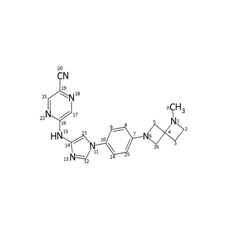 CN1CCC12CN(c1ccc(-n3cnc(Nc4cnc(C#N)cn4)c3)cc1)C2